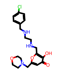 O=c1cc(CN2CCOCC2)oc(CNCCNCc2ccc(Cl)cc2)c1O